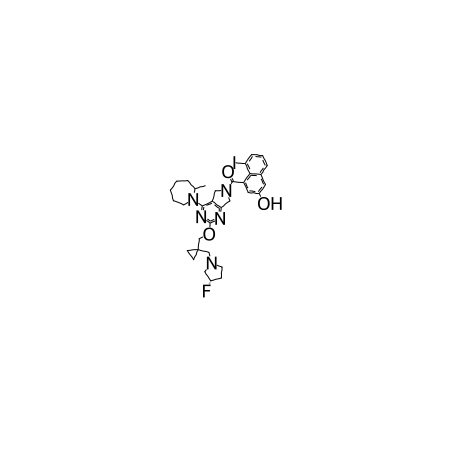 CC1CCCCCN1c1nc(OCC2(CN3CC[C@H](F)C3)CC2)nc2c1CN(C(=O)c1cc(O)cc3cccc(I)c13)C2